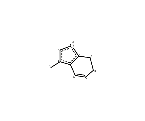 Cc1coc2c1C=CCC2